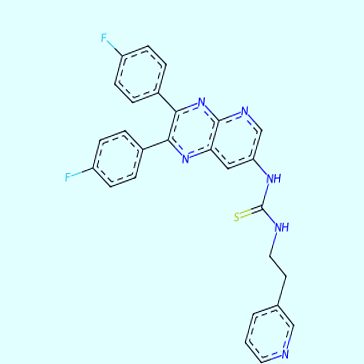 Fc1ccc(-c2nc3cc(NC(=S)NCCc4cccnc4)cnc3nc2-c2ccc(F)cc2)cc1